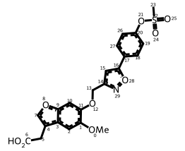 COc1cc2c(CC(=O)O)coc2cc1OCc1cc(-c2ccc(OS(C)(=O)=O)cc2)on1